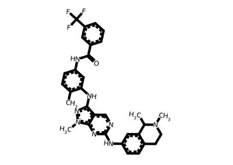 Cc1ccc(NC(=O)c2cccc(C(F)(F)F)c2)cc1Nc1nn(C)c2nc(Nc3ccc4c(c3)C(C)N(C)CC4)ncc12